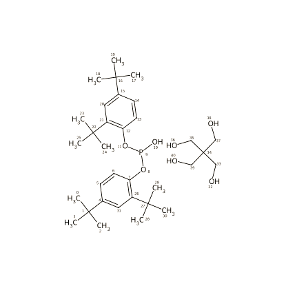 CC(C)(C)c1ccc(OP(O)Oc2ccc(C(C)(C)C)cc2C(C)(C)C)c(C(C)(C)C)c1.OCC(CO)(CO)CO